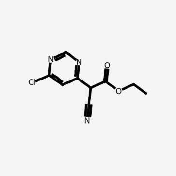 CCOC(=O)C(C#N)c1cc(Cl)ncn1